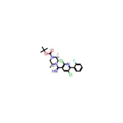 C[C@@H]1CN(C(=N)c2cc(Cl)c(-c3ccccc3F)nc2Cl)[C@@H](C)CN1C(=O)OC(C)(C)C